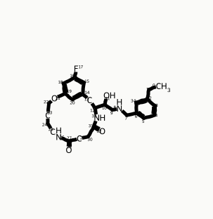 CCc1cccc(CNCC(O)C2Cc3cc(F)cc(c3)OCCCCNC(=O)CCC(=O)N2)c1